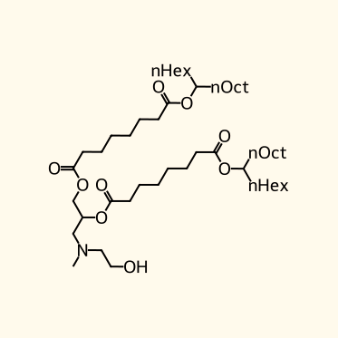 CCCCCCCCC(CCCCCC)OC(=O)CCCCCCC(=O)OCC(CN(C)CCO)OC(=O)CCCCCCC(=O)OC(CCCCCC)CCCCCCCC